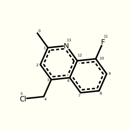 Cc1cc(CCl)c2cccc(F)c2n1